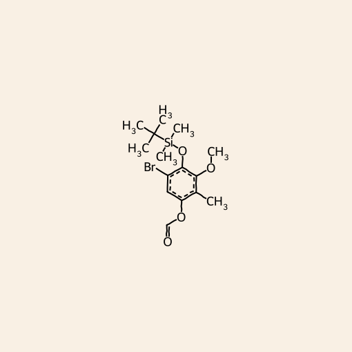 COc1c(C)c(OC=O)cc(Br)c1O[Si](C)(C)C(C)(C)C